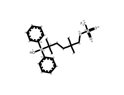 CC(C)(CCC(C)(C)[Si](O)(c1ccccc1)c1ccccc1)COS(=O)(=O)C(F)(F)F